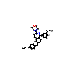 COc1ccc(CC2CCC3=C(c4cccc(OC)c4)N=C(N4CCOCC4)CC=C3C2)cc1